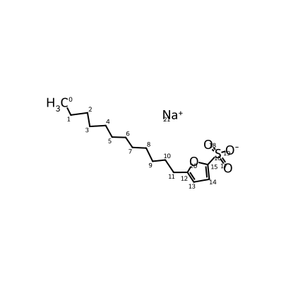 CCCCCCCCCCCCc1ccc(S(=O)(=O)[O-])o1.[Na+]